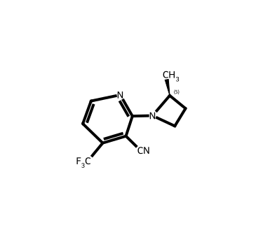 C[C@H]1CCN1c1nccc(C(F)(F)F)c1C#N